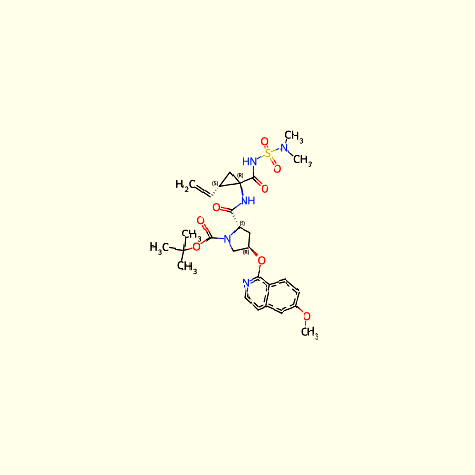 C=C[C@@H]1C[C@]1(NC(=O)[C@@H]1C[C@@H](Oc2nccc3cc(OC)ccc23)CN1C(=O)OC(C)(C)C)C(=O)NS(=O)(=O)N(C)C